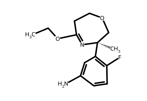 CCOC1=N[C@](C)(c2cc(N)ccc2F)COCC1